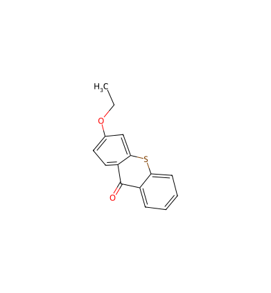 CCOc1ccc2c(=O)c3ccccc3sc2c1